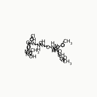 CCc1cccc(-c2cnc(C(=O)NCCOCCNCC(=O)NCCNC[C@@H](C(=O)N3CCN(c4ncnc5c4[C@H](C)C[C@H]5O)CC3)c3ccc(Cl)cc3)c(NC(=O)CNCC3CCN(C)C(=O)C3)c2)c1